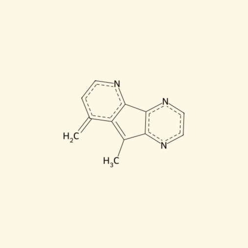 C=c1ccnc2c1=C(C)c1nccnc1-2